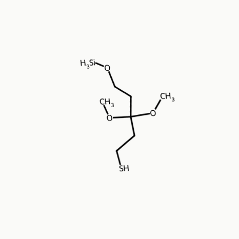 COC(CCS)(CCO[SiH3])OC